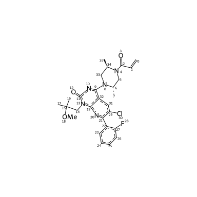 C=CC(=O)N1C[C@H](C)N(c2nc(=O)n(CC(C)(C)OC)c3nc(-c4ccccc4F)c(Cl)cc23)C[C@H]1C